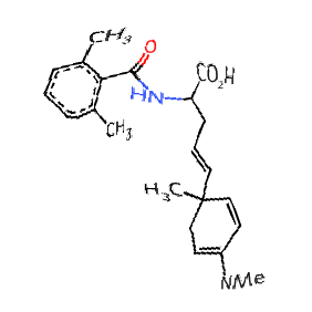 CNC1=CCC(C)(/C=C/CC(NC(=O)c2c(C)cccc2C)C(=O)O)C=C1